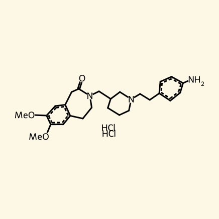 COc1cc2c(cc1OC)CC(=O)N(CC1CCCN(CCc3ccc(N)cc3)C1)CC2.Cl.Cl